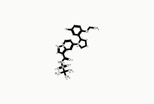 CCOc1ccc(F)cc1C1CCCN1c1ccn2ncc(C(=O)NS(=O)(=O)C(C)(C)C)c2c1